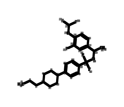 CCCC1CCC(c2ccc(C(F)(F)OC(C)c3ccc(OC(F)F)c(F)c3)cc2)CC1